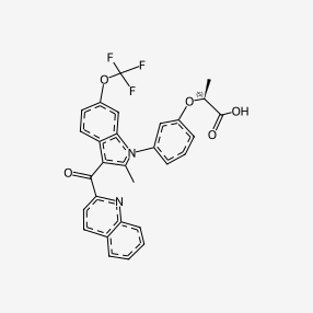 Cc1c(C(=O)c2ccc3ccccc3n2)c2ccc(OC(F)(F)F)cc2n1-c1cccc(O[C@@H](C)C(=O)O)c1